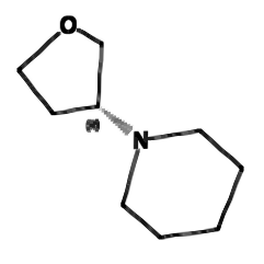 C1CCN([C@@H]2CCOC2)CC1